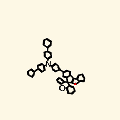 c1ccc(-c2ccc(N(c3ccc(-c4ccccc4)cc3)c3ccc(-c4ccc5c(c4)C4(c6ccccc6Oc6ccccc64)c4ccc6ccccc6c4-5)cc3)cc2)cc1